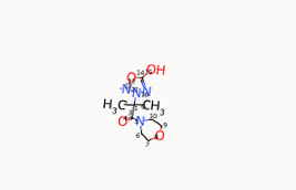 CC(C)(C(=O)N1CCOCC1)N1[N]OC(O)=N1